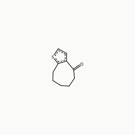 O=C1CCCCCc2sccc21